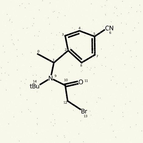 CC(c1ccc(C#N)cc1)N(C(=O)CBr)C(C)(C)C